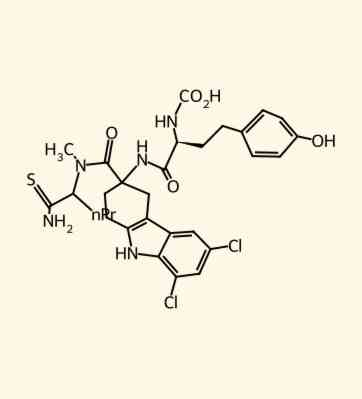 CCCC(C(N)=S)N(C)C(=O)C1(NC(=O)[C@H](CCc2ccc(O)cc2)NC(=O)O)CCc2[nH]c3c(Cl)cc(Cl)cc3c2C1